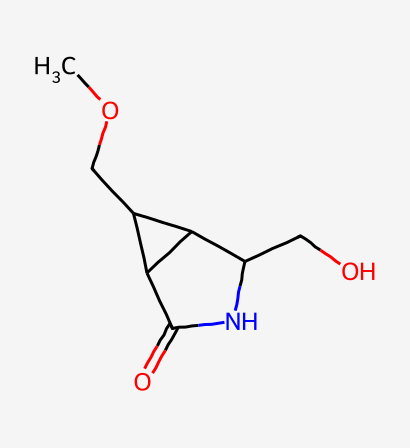 COCC1C2C(=O)NC(CO)C12